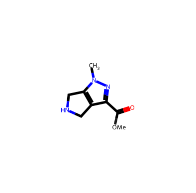 COC(=O)c1nn(C)c2c1CNC2